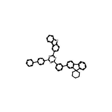 c1ccc(-c2ccc(-c3nc(-c4cccc(-c5ccc6c(c5)C5(CCCCC5)c5ccccc5-6)c4)nc(-c4ccc5oc6ccccc6c5c4)n3)cc2)cc1